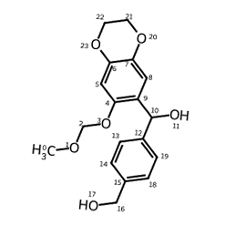 COCOc1cc2c(cc1C(O)c1ccc(CO)cc1)OCCO2